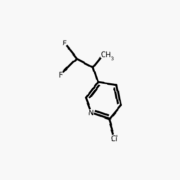 CC(c1ccc(Cl)nc1)C(F)F